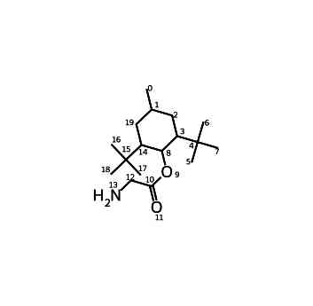 CC1CC(C(C)(C)C)C(OC(=O)CN)C(C(C)(C)C)C1